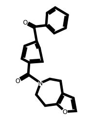 O=C(c1ccccc1)c1ccc(C(=O)N2CCc3ccoc3CC2)cc1